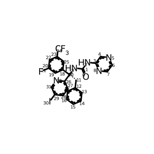 O=C(Nc1cnccn1)N[C@](Cc1ccccc1)(c1cc(F)cc(C(F)(F)F)c1)c1ccc(I)cn1